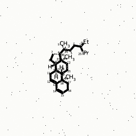 CCC(CC[C@@H](C)[C@H]1CC[C@H]2[C@@H]3CC=C4C=CCC[C@]4(C)[C@H]3CC[C@]12C)C(C)C